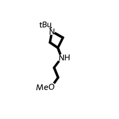 COCCNC1CN(C(C)(C)C)C1